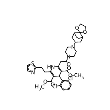 COC(=O)C1=C(CCc2nccs2)NC(CC(=O)N2CCN(C3CC4CCC(C3)C43OCCO3)CC2)=C(C(=O)OC)C1c1c(Cl)cccc1Cl